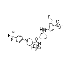 CN(CC1CCC(Nc2ccc([N+](=O)[O-])c(CF)c2)CC1)C(=O)C1(C)CCN(c2ccc(C(F)(F)F)cc2)CC1